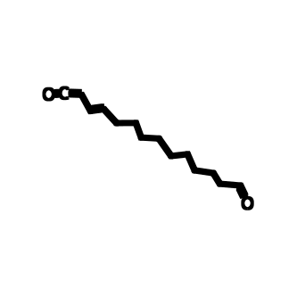 O=C=CC=CCCCCCCCCCC=O